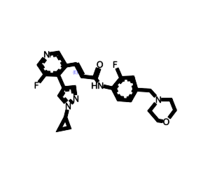 O=C(/C=C/c1cncc(F)c1-c1cnn(C2CC2)c1)Nc1ccc(CN2CCOCC2)cc1F